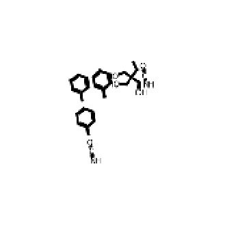 CCC(CO)(CO)CO.Cc1ccccc1.Cc1ccccc1.Cc1ccccc1.N=C=O.N=C=O